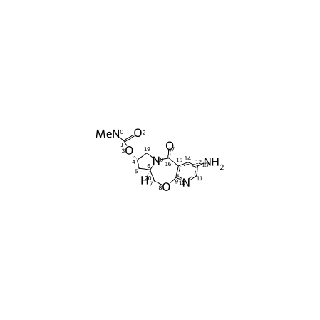 CNC(=O)O[C@H]1C[C@@H]2COc3ncc(N)cc3C(=O)N2C1